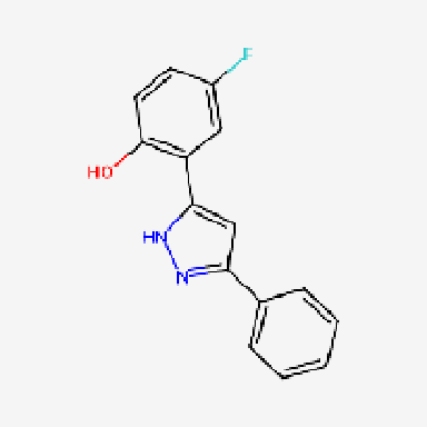 Oc1ccc(F)cc1-c1cc(-c2ccccc2)n[nH]1